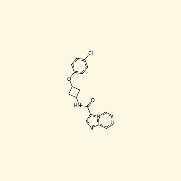 O=C(NC1CC(Oc2ccc(Cl)cc2)C1)c1cnc2ccccn12